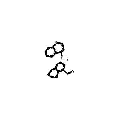 Cc1ccnc2ccccc12.O=Cc1cccc2ccccc12